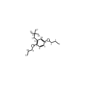 CCCOc1ccc(OCCC)c(CC(C)(C)C)c1